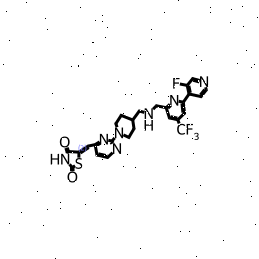 O=C1NC(=O)/C(=C/c2ccnc(N3CCC(CNCc4cc(C(F)(F)F)cc(-c5ccncc5F)n4)CC3)n2)S1